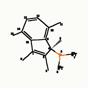 CC1=C(C)[C@](C)(P(C(C)C)C(C)C)c2c(C)ccc(C)c21